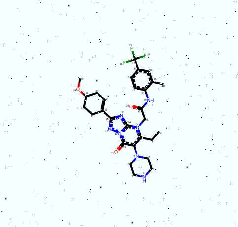 CCc1c(N2CCNCC2)c(=O)n2nc(C3=CCC(OC)CC3)nc2n1CC(=O)Nc1ccc(C(F)(F)F)cc1C